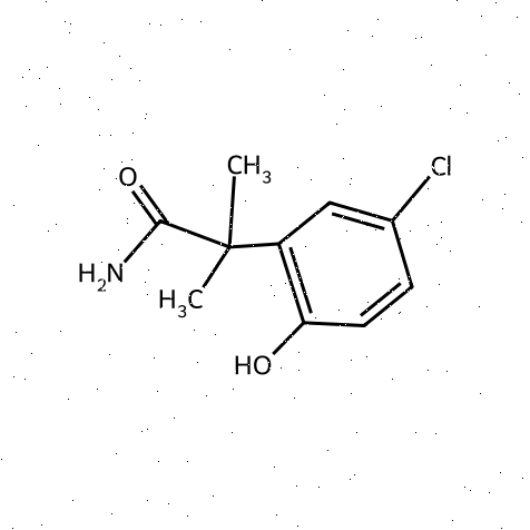 CC(C)(C(N)=O)c1cc(Cl)ccc1O